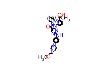 C=CCn1c(=O)c2cnc(Nc3ccc(N4CCN(CCOC)CC4)cc3)nc2n1-c1cccc(C(C)(C)O)n1